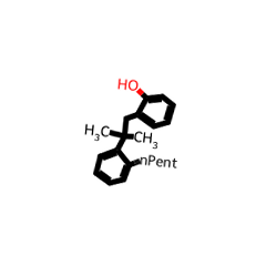 CCCCCc1ccccc1C(C)(C)Cc1ccccc1O